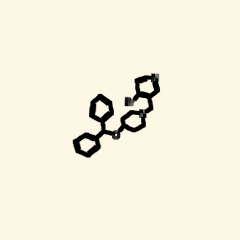 Brc1ccncc1CN1CCC(OC(c2ccccc2)c2ccccc2)CC1